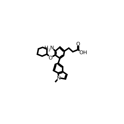 Cn1ccc2cc(-c3cc(CCC(=O)O)cc(N)c3OC3CCCCC3)ccc21